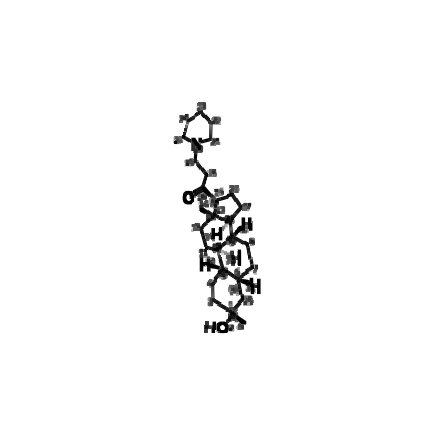 C[C@@]1(O)CC[C@H]2[C@H](CC[C@@H]3[C@@H]2CC[C@]2(C)[C@@H](C(=O)CCN4CCCCC4)CC[C@@H]32)C1